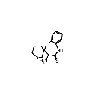 NC1C(=O)Nc2ccccc2OC12CCCOC2